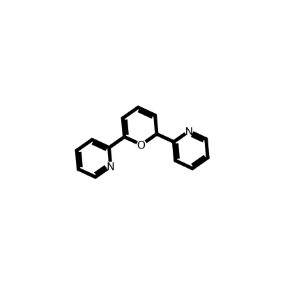 C1=CC(c2ccccn2)OC(c2ccccn2)=C1